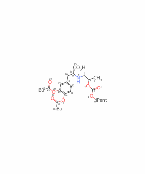 CCCC(C)OC(=O)OC(C)CN[C@@H](Cc1ccc(OC(=O)C(C)CC)c(OC(=O)C(C)CC)c1)C(=O)O